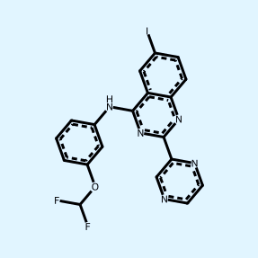 FC(F)Oc1cccc(Nc2nc(-c3cnccn3)nc3ccc(I)cc23)c1